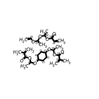 C=C(C)C(=O)OC(C)OC1CCC(OC(C)OC(=O)C(=C)C)CC1.C=COC(C)OC(C)OC(=O)C=C